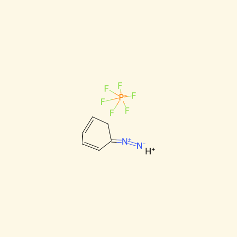 F[P-](F)(F)(F)(F)F.[H+].[N-]=[N+]=C1C=CC=CC1